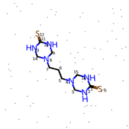 S=C1NCN(CCCN2CNC(=S)NC2)CN1